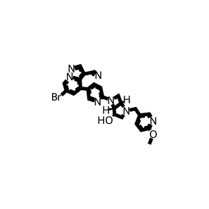 COc1ccc(CN2C[C@@H](O)[C@H]3[C@@H]2CN3c2ccc(-c3cc(Br)cn4ncc(C#N)c34)cn2)cn1